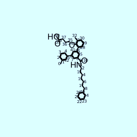 Cc1cccc(-c2cc(C(=O)NCCCCCCCc3ccccc3)cc(-c3cccc(C)c3OCCCC(=O)O)c2)c1